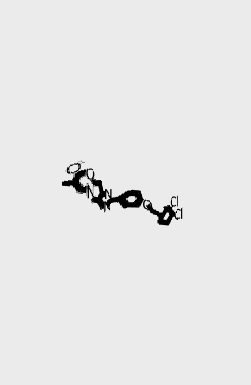 COC(=O)C(C)CN1CCc2nc(-c3ccc(OCc4ccc(Cl)c(Cl)c4)cc3)ncc2C1